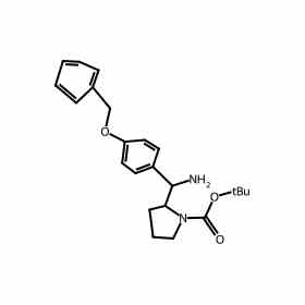 CC(C)(C)OC(=O)N1CCCC1C(N)c1ccc(OCc2ccccc2)cc1